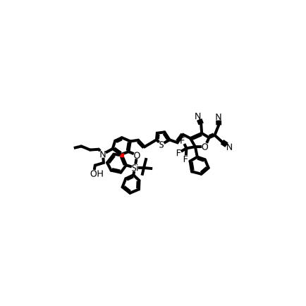 CCCCN(CCO)c1ccc(/C=C/c2ccc(/C=C/C3=C(C#N)C(=C(C#N)C#N)OC3(c3ccccc3)C(F)(F)F)s2)c(O[Si](c2ccccc2)(c2ccccc2)C(C)(C)C)c1